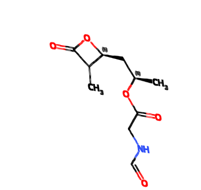 CC1C(=O)O[C@H]1C[C@@H](C)OC(=O)CNC=O